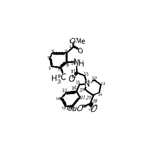 COC(=O)c1cccc(C)c1NC(=O)C[N+]1(Cc2ccccc2)CCCC(C(=O)OCC(C)C)C1